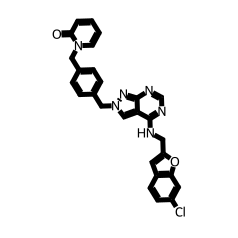 O=c1ccccn1Cc1ccc(Cn2cc3c(NCc4cc5ccc(Cl)cc5o4)ncnc3n2)cc1